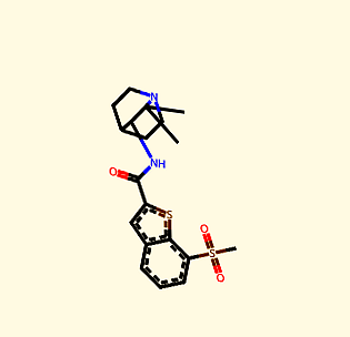 CC1(C)C(NC(=O)c2cc3cccc(S(C)(=O)=O)c3s2)C2CCN1CC2